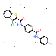 O=C(Nc1ccc(F)cc1)c1ccc(NC(=O)c2sc3ccccc3c2Cl)cc1